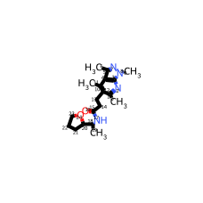 Cc1nc2c(c(C)nn2C)c(C)c1CCC(=O)NC(C)C1CCCO1